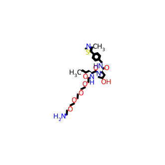 CCCC[C@H](NC(=O)COCCOCCOCCOCCN)C(=O)N1C[C@H](O)C[C@H]1C(=O)NCc1ccc(-c2scnc2C)cc1